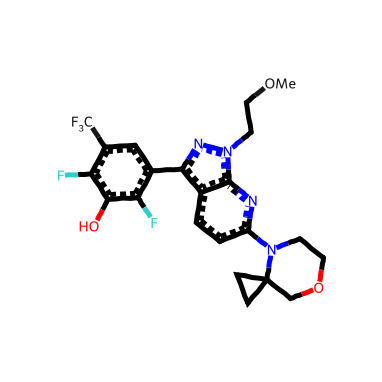 COCCn1nc(-c2cc(C(F)(F)F)c(F)c(O)c2F)c2ccc(N3CCOCC34CC4)nc21